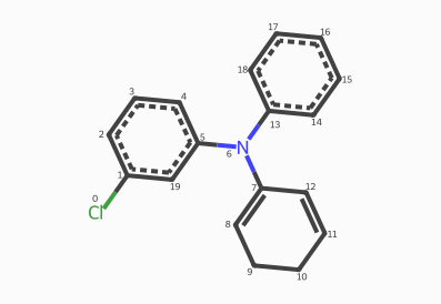 Clc1cccc(N(C2=CCCC=C2)c2ccccc2)c1